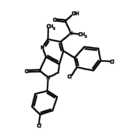 Cc1nc2c(c(-c3ccc(Cl)cc3Cl)c1N(C)C(=O)O)CN(c1ccc(Cl)cc1)C2=O